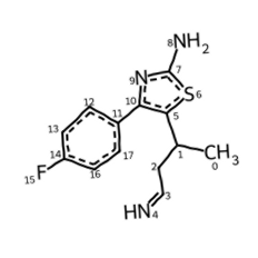 CC(CC=N)c1sc(N)nc1-c1ccc(F)cc1